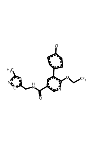 Cc1noc(CNC(=O)c2cnc(OCC(F)(F)F)c(-c3ccc(Cl)cc3)c2)n1